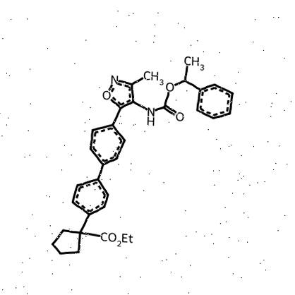 CCOC(=O)C1(c2ccc(-c3ccc(-c4onc(C)c4NC(=O)OC(C)c4ccccc4)cc3)cc2)CCCC1